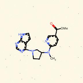 COC(=O)c1ccc(N(C)C2CCN(c3ncnc4[nH]ccc34)C2)nc1